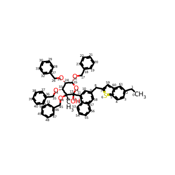 CCc1ccc2sc(Cc3cc(C4(O)O[C@@H](OCc5ccccc5)[C@@H](OCc5ccccc5)[C@@H](OCc5ccccc5)[C@@]4(C)OCc4ccccc4)c4ccccc4c3)cc2c1